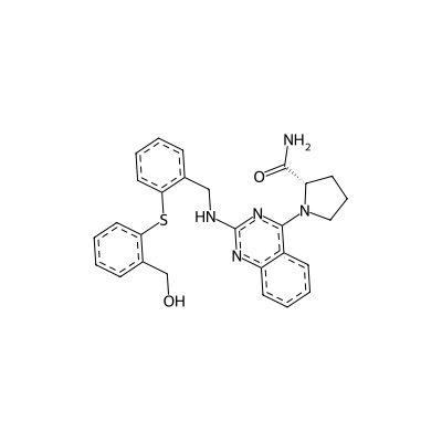 NC(=O)[C@@H]1CCCN1c1nc(NCc2ccccc2Sc2ccccc2CO)nc2ccccc12